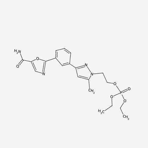 CCOP(=O)(OCC)OCCn1nc(-c2cccc(-c3ncc(C(N)=O)o3)c2)cc1C